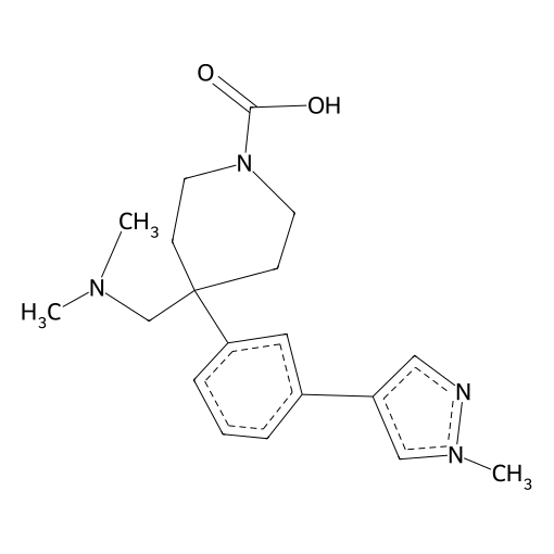 CN(C)CC1(c2cccc(-c3cnn(C)c3)c2)CCN(C(=O)O)CC1